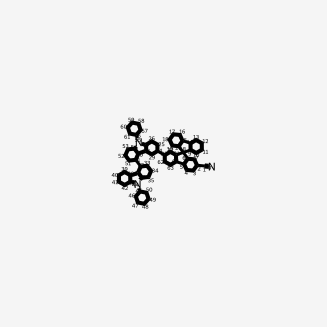 N#Cc1ccc2c(c1)C1(c3ccccc3-c3ccccc31)c1cc(-c3ccc4c(c3)c3c(-c5cccc6c5c5ccccc5n6-c5ccccc5)cccc3n4-c3ccccc3)ccc1-2